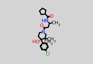 CC(CC(=O)N1CC[C@@](O)(c2ccc(Cl)cc2)C(C)(C)C1)NC(=O)C1CCCC1